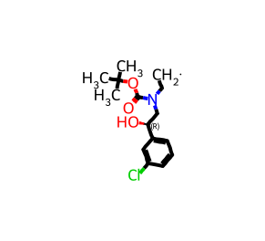 [CH2]CN(C[C@H](O)c1cccc(Cl)c1)C(=O)OC(C)(C)C